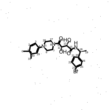 Cc1ccc(N2CCN(C(=O)[C@H](O)[C@@H](O)C(=O)N[C@@H](C)c3ccc(Br)cc3)CC2)cc1C